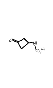 O=C1CC(NC(=O)O)C1